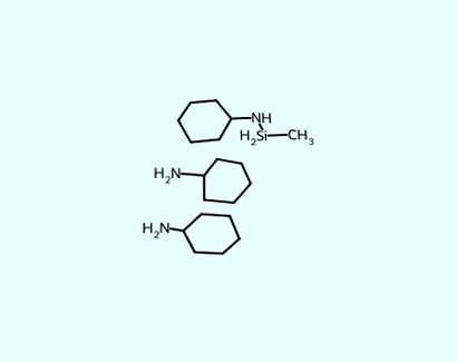 C[SiH2]NC1CCCCC1.NC1CCCCC1.NC1CCCCC1